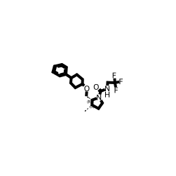 C[C@H]1CCN(C(=O)NCC(F)(F)F)[C@H]1COC1CCC(c2ccccc2)CC1